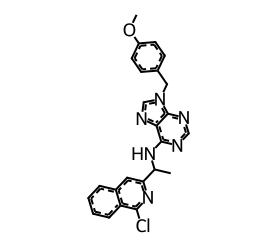 COc1ccc(Cn2cnc3c(NC(C)c4cc5ccccc5c(Cl)n4)ncnc32)cc1